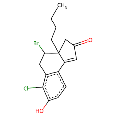 CCCCC12CC(=O)C=C1c1ccc(O)c(Cl)c1CC2Br